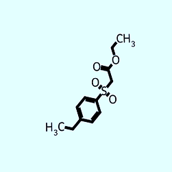 CCOC(=O)CS(=O)(=O)c1ccc(CC)cc1